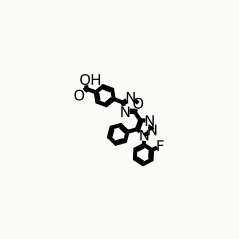 O=C(O)c1ccc(-c2noc(-c3nnn(-c4ccccc4F)c3-c3ccccc3)n2)cc1